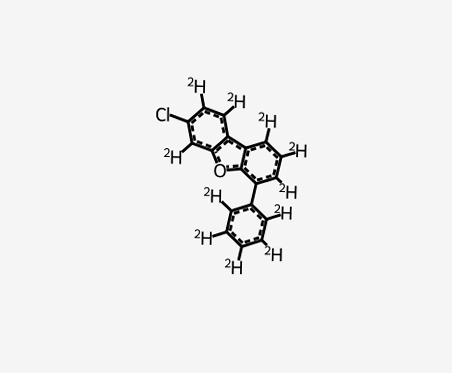 [2H]c1c([2H])c([2H])c(-c2c([2H])c([2H])c([2H])c3c2oc2c([2H])c(Cl)c([2H])c([2H])c23)c([2H])c1[2H]